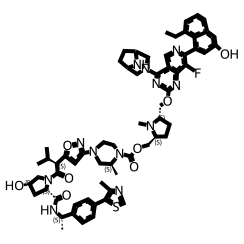 CCc1cccc2cc(O)cc(-c3ncc4c(N5CC6CCC(C5)N6)nc(OC[C@@H]5CC[C@@H](COC(=O)N6CCN(c7cc([C@@H](C(=O)N8C[C@H](O)C[C@H]8C(=O)N[C@@H](C)c8ccc(-c9scnc9C)cc8)C(C)C)on7)C[C@@H]6C)N5C)nc4c3F)c12